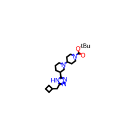 CC(C)(C)OC(=O)N1CCC(N2CCCC(c3nnc(CC4CCC4)[nH]3)C2)CC1